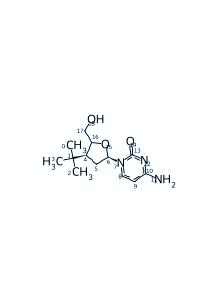 CC(C)(C)[C@@H]1C[C@H](n2ccc(N)nc2=O)OC1CO